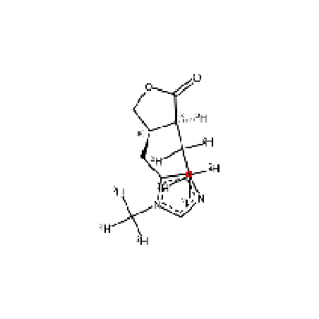 [2H]C([2H])([2H])n1cncc1C[C@H]1COC(=O)[C@@]1([2H])C([2H])([2H])C([2H])([2H])[2H]